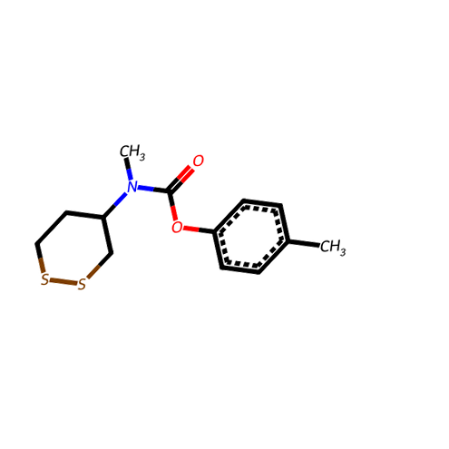 Cc1ccc(OC(=O)N(C)C2CCSSC2)cc1